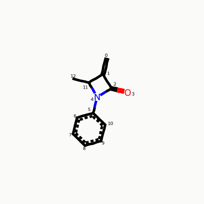 C=C1C(=O)N(c2ccccc2)C1C